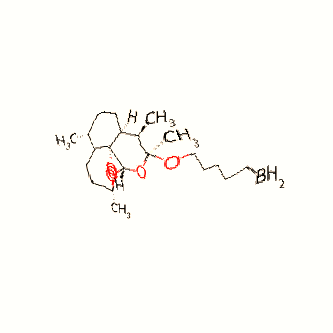 BCCCCCO[C@@]1(C)O[C@@H]2O[C@]3(C)CCC4[C@H](C)CC[C@@H]([C@H]1C)[C@]42OO3